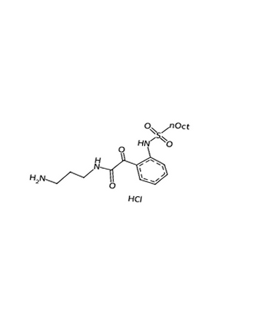 CCCCCCCCS(=O)(=O)Nc1ccccc1C(=O)C(=O)NCCCN.Cl